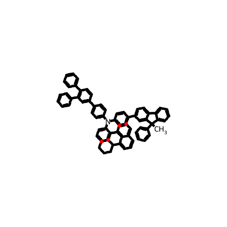 CC1(c2ccccc2)c2ccccc2-c2ccc(-c3ccc(N(c4ccc(-c5ccc(-c6ccccc6)c(-c6ccccc6)c5)cc4)c4ccccc4-c4cccc5cccc(C6CCCCC6)c45)cc3)cc21